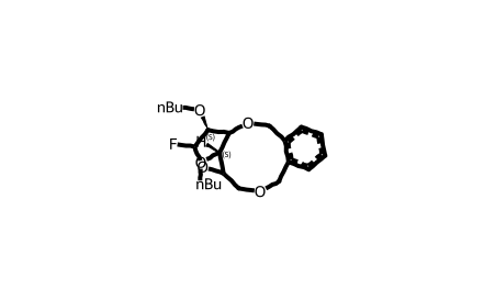 CCCCO[C@@H]1C(F)OC2COCc3ccccc3COC1[C@H]2OCCCC